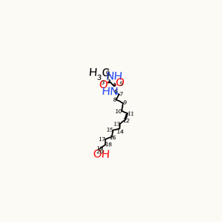 CNC(=O)C(=O)NCCCC/C=C\CCCCCCCO